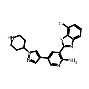 Nc1ncc(-c2cnn(C3CCNCC3)c2)cc1-c1nc2cccc(Cl)c2s1